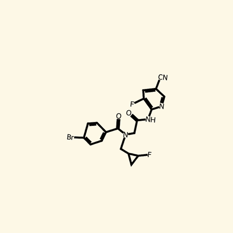 N#Cc1cnc(NC(=O)CN(CC2CC2F)C(=O)c2ccc(Br)cc2)c(F)c1